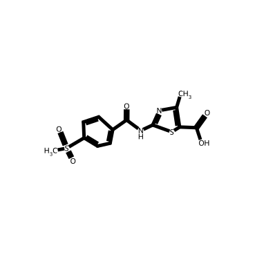 Cc1nc(NC(=O)c2ccc(S(C)(=O)=O)cc2)sc1C(=O)O